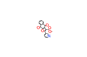 COC(=O)c1c(-c2cccnc2)oc2c1C(=O)c1ccccc1C2=O